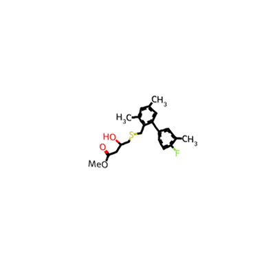 COC(=O)CC(O)CSCc1c(C)cc(C)cc1-c1ccc(F)c(C)c1